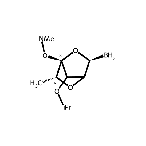 B[C@@H]1O[C@]2(ONC)C(OC(C)C)C1O[C@@H]2C